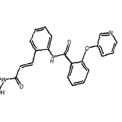 O=C(/C=C/c1ccccc1NC(=O)c1ccccc1Oc1cccnc1)NO